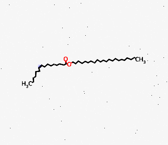 CCCCCC/C=C\CCCCCCCC(=O)OCCCCCCCCCCCCCCCCCCCCCC